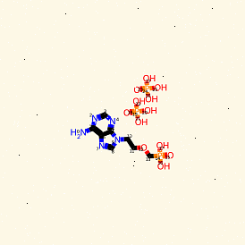 Nc1ncnc2c1ncn2CCOCP(=O)(O)O.O=P(O)(O)O.O=P(O)(O)O